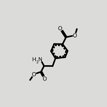 COC(=O)c1ccc(CC(N)C(=O)OC)cc1